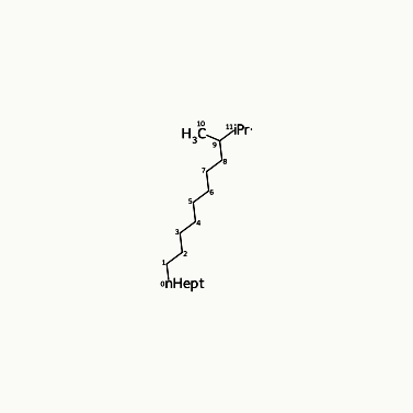 CCCCCCCCCCCCCCCC(C)[C](C)C